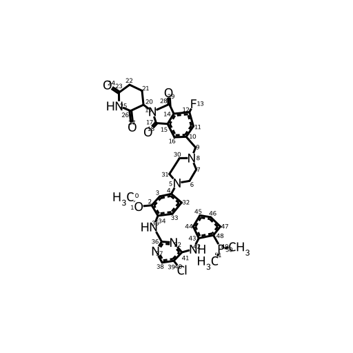 COc1cc(N2CCN(Cc3cc(F)c4c(c3)C(=O)N(C3CCC(=O)NC3=O)C4=O)CC2)ccc1Nc1ncc(Cl)c(Nc2ccccc2P(C)C)n1